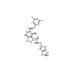 Cc1cc(C)cc(CNc2cnc3n(c2=O)[C@H](C(=O)NCc2cc4c(s2)CNC4)CC3)c1